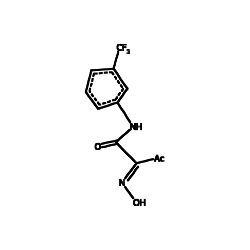 CC(=O)/C(=N\O)C(=O)Nc1cccc(C(F)(F)F)c1